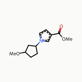 COC(=O)c1ccn(C2CCC(OC)C2)c1